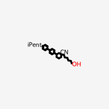 CCCC(C)c1ccc(-c2ccc(C3CCCC(C#N)(CCCCCCO)C3)cc2)cc1